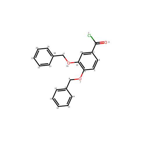 O=C(Cl)c1ccc(OCc2ccccc2)c(OCc2ccccc2)c1